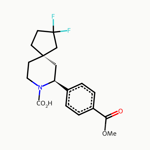 COC(=O)c1ccc([C@@H]2C[C@]3(CCN2C(=O)O)CCC(F)(F)C3)cc1